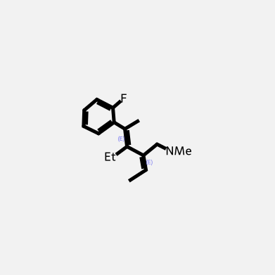 C/C=C(CNC)\C(CC)=C(/C)c1ccccc1F